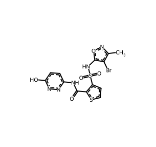 Cc1noc(NS(=O)(=O)c2ccsc2C(=O)Nc2ccc(O)nn2)c1Br